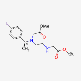 COC(=O)CN(CCNCC(=O)OC(C)(C)C)[C@@H](C)c1ccc(I)cc1